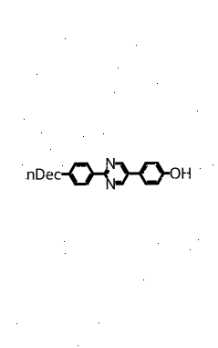 CCCCCCCCCCc1ccc(-c2ncc(-c3ccc(O)cc3)cn2)cc1